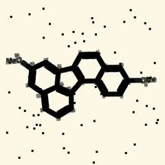 COc1ccc2c3c(ccc2c1)-c1cc(OC)cc2cccc-3c12